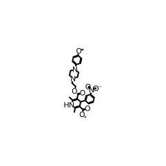 COC(=O)C1=C(C)NC(C)=C(C(=O)OCCN2CCN(c3ccc(OC)cc3)CC2)C1c1cccc([N+](=O)[O-])c1